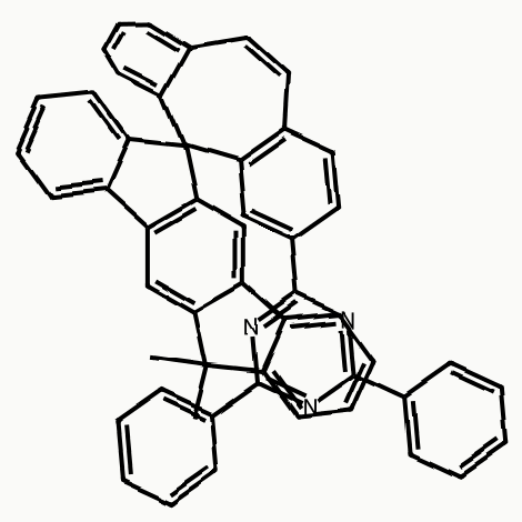 CC1(C)c2ccccc2-c2cc3c(cc21)-c1ccccc1C31c2ccccc2C=Cc2ccc(-c3nc(-c4ccccc4)nc(-c4ccccc4)n3)cc21